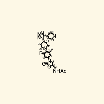 CC(=O)NCC1CN(c2cc(F)c(N3CCC(n4nnnc4-c4ccncc4)CC3)c(F)c2)C(=O)O1